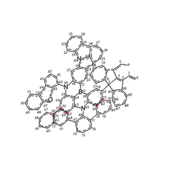 C=CC1=C(/C=C\C)C(c2ccccc2)(c2ccc3c(c2)B2c4cc5c6cccc7c8ccccc8n(c5cc4N(c4cccc5c4oc4ccccc45)c4cc(-c5ccccc5)cc(c42)N3c2c(-c3ccccc3)cccc2-c2ccccc2)c76)c2ccccc21